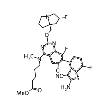 COC(=O)CCCCN(C)c1nc(OC[C@@]23CCCN2C[C@H](F)C3)nc2c(F)c(-c3ccc(F)c4sc(N)c(C#N)c34)c(Cl)cc12